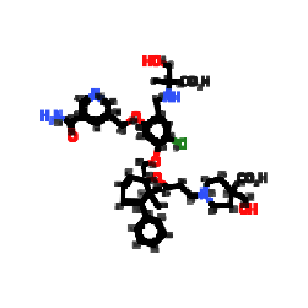 CC(CO)(NCc1cc(Cl)c(OC[C@@]2(OCCCN3CCC(CO)(C(=O)O)CC3)C=CC=C(c3ccccc3)C2(C)C)cc1OCc1cncc(C(N)=O)c1)C(=O)O